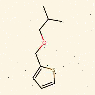 CC(C)COCc1cccs1